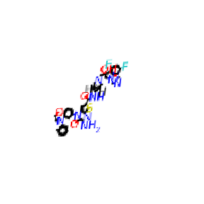 Nc1nc2sc(C(=O)NC3[C@H]4CN(CC(O)(Cn5cncn5)c5ccc(F)cc5F)C[C@@H]34)cc2n(-c2ccc3c(c2)N(c2ccccc2)CCO3)c1=O